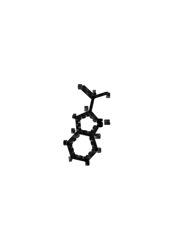 C=C(C)c1cc2ccccc2s1